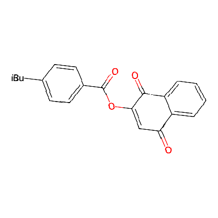 CCC(C)c1ccc(C(=O)OC2=CC(=O)c3ccccc3C2=O)cc1